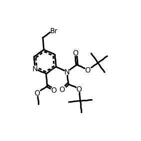 COC(=O)c1ncc(CBr)cc1N(C(=O)OC(C)(C)C)C(=O)OC(C)(C)C